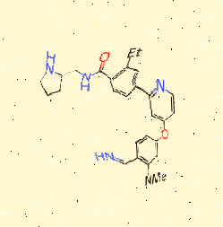 CCc1cc(-c2cc(Oc3ccc(C=N)c(NC)c3)ccn2)ccc1C(=O)NC[C@@H]1CCCN1